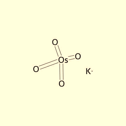 [K].[O]=[Os](=[O])(=[O])=[O]